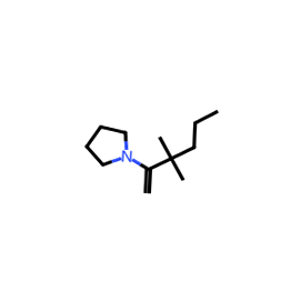 C=C(N1CCCC1)C(C)(C)CCC